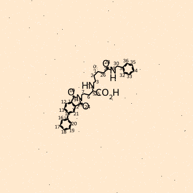 C[C@@H](CCN[C@H](CCN1C(=O)c2ccc(-c3ccccc3)cc2C1=O)C(=O)O)CC(=O)NCc1ccccc1